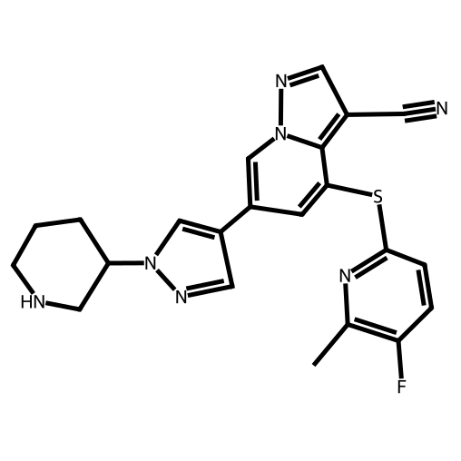 Cc1nc(Sc2cc(-c3cnn(C4CCCNC4)c3)cn3ncc(C#N)c23)ccc1F